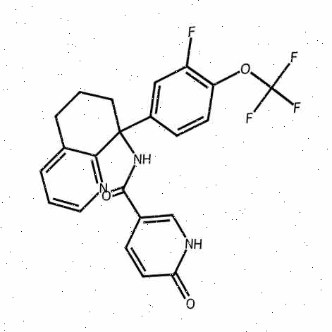 O=C(NC1(c2ccc(OC(F)(F)F)c(F)c2)CCCc2cccnc21)c1ccc(=O)[nH]c1